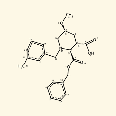 CO[C@H]1C[C@H](C(=O)O)[C@@H](C(=O)OCc2ccccc2)N(Cc2cccc(C)c2)C1